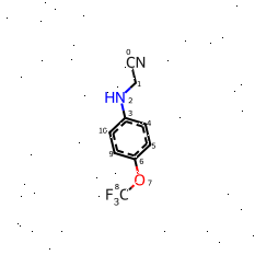 N#CCNc1ccc(OC(F)(F)F)cc1